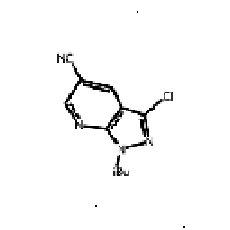 CCC(C)n1nc(Cl)c2cc(C#N)cnc21